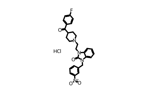 Cl.O=C(c1ccc(F)cc1)C1CCN(CCn2c(=O)n(Cc3cccc([N+](=O)[O-])c3)c3ccccc32)CC1